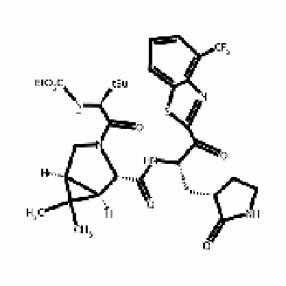 CCOC(=O)N[C@H](C(=O)N1C[C@H]2[C@@H]([C@H]1C(=O)N[C@@H](C[C@@H]1CCNC1=O)C(=O)c1nc3c(C(F)(F)F)cccc3s1)C2(C)C)C(C)(C)C